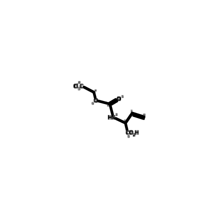 C=CC(NC(=O)OCC(Cl)(Cl)Cl)C(=O)O